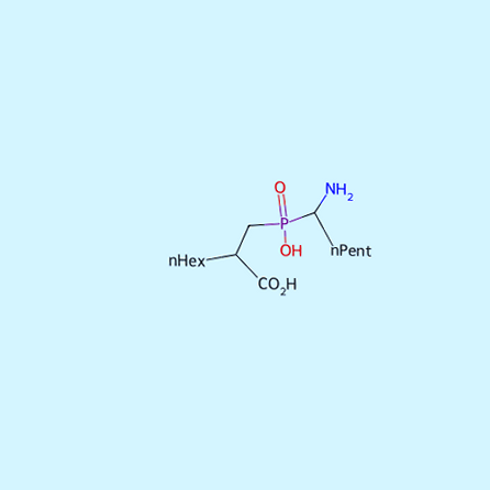 CCCCCCC(CP(=O)(O)C(N)CCCCC)C(=O)O